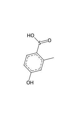 Cc1cc(O)ccc1S(=O)O